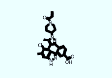 C=CC(=O)N1CCC(n2nc(-c3ccc(C(=O)O)cc3)c(-c3c(Cl)c(C)cc4[nH]ncc34)c2C)CC1